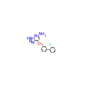 Nc1cc(OCc2cccc(-c3ccccc3F)c2)c2nn[nH]c2n1